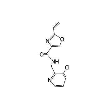 C=Cc1nc(C(=O)NCc2ncccc2Cl)co1